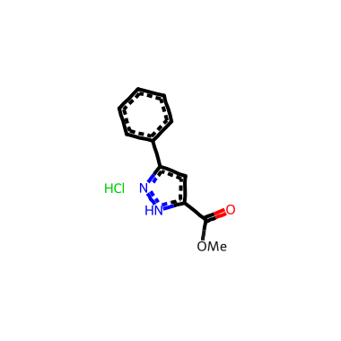 COC(=O)c1cc(-c2ccccc2)n[nH]1.Cl